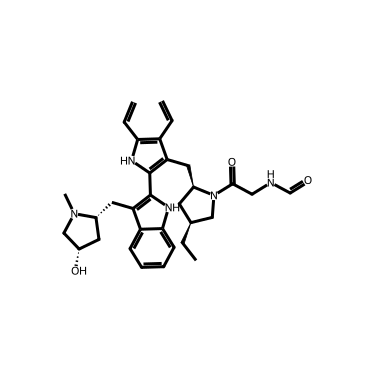 C=Cc1[nH]c(-c2[nH]c3ccccc3c2C[C@@H]2C[C@H](O)CN2C)c(C[C@@H]2C[C@H](CC)CN2C(=O)CNC=O)c1C=C